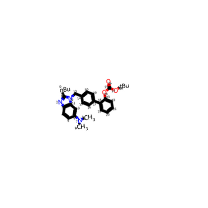 CCCCc1nc2ccc(N(C)C)cc2n1Cc1ccc(-c2ccccc2OC(=O)OC(C)(C)C)cc1